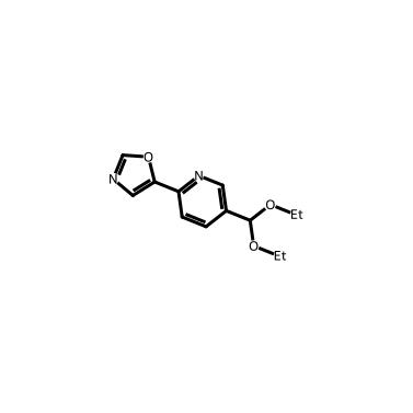 CCOC(OCC)c1ccc(-c2cnco2)nc1